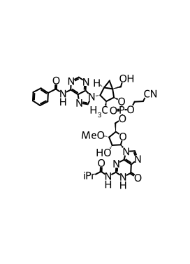 CO[C@H]1[C@@H](O)[C@H](n2cnc3c(=O)[nH]c(NC(=O)C(C)C)nc32)O[C@@H]1COP(=O)(OCCC#N)O[C@H]1[C@@H](C)[C@H](n2cnc3c(NC(=O)c4ccccc4)ncnc32)[C@H]2C[C@@]21CO